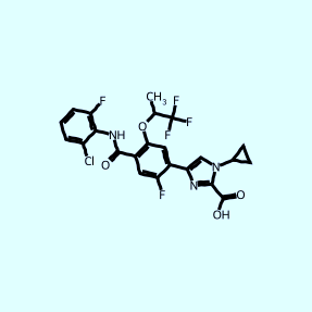 CC(Oc1cc(-c2cn(C3CC3)c(C(=O)O)n2)c(F)cc1C(=O)Nc1c(F)cccc1Cl)C(F)(F)F